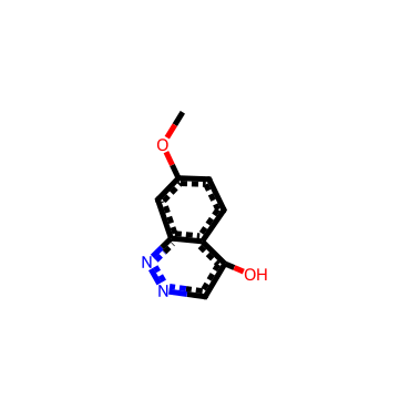 COc1ccc2c(O)cnnc2c1